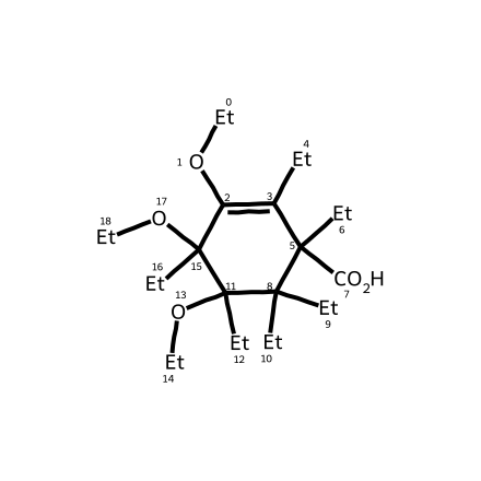 CCOC1=C(CC)C(CC)(C(=O)O)C(CC)(CC)C(CC)(OCC)C1(CC)OCC